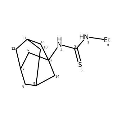 CCNC(=S)NC12CC3CC(CC(C3)C1)C2